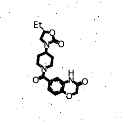 CC[C@H]1CN(C2CCN(C(=O)c3ccc4c(c3)NC(=O)CO4)CC2)C(=O)O1